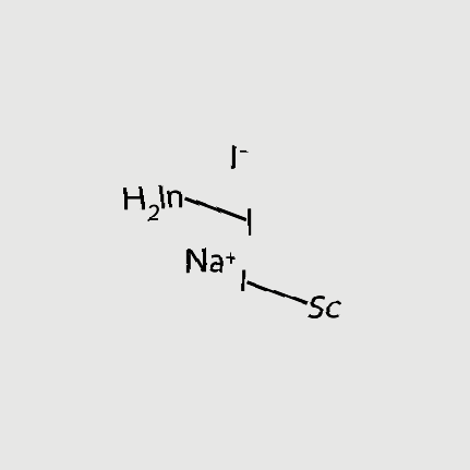 [I-].[InH2][I].[Na+].[Sc][I]